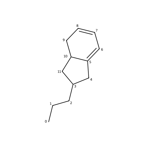 CCCC1CC2=CC=CCC2C1